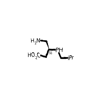 CC(C)CP[C@H](CN)CC(=O)O